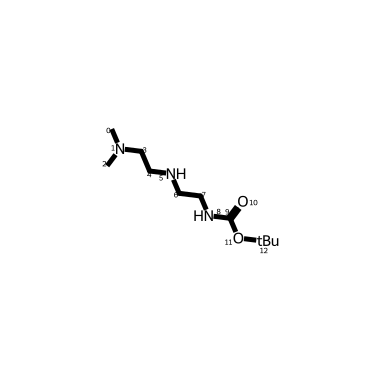 CN(C)CCNCCNC(=O)OC(C)(C)C